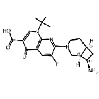 CC(C)(C)n1cc(C(=O)O)c(=O)c2cc(F)c(N3CC[C@H]4C[C@@H](N)[C@H]4C3)nc21